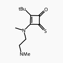 CNCCN(C)c1c(C(C)(C)C)c(=O)c1=S